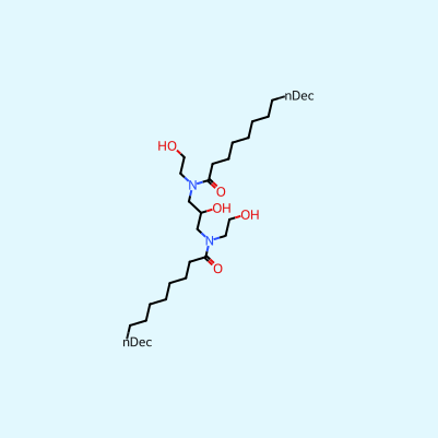 CCCCCCCCCCCCCCCCCC(=O)N(CCO)CC(O)CN(CCO)C(=O)CCCCCCCCCCCCCCCCC